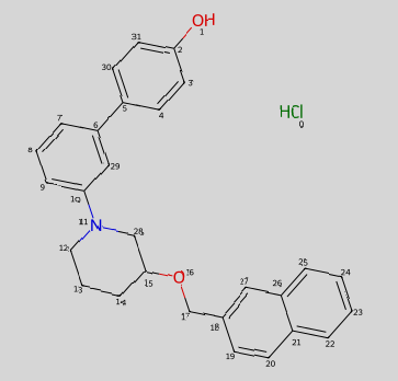 Cl.Oc1ccc(-c2cccc(N3CCCC(OCc4ccc5ccccc5c4)C3)c2)cc1